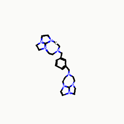 c1cc(CN2CCN3CCN4CCN(CC2)C34)cc(CN2CCN3CCN4CCN(CC2)C34)c1